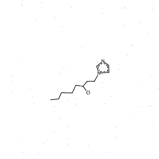 CCCCCC(Cl)CCn1ccnc1